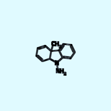 CC12C=CC=CC1N(N)c1ccccc12